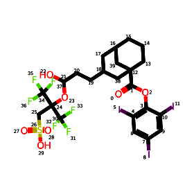 O=C(Oc1c(I)cc(I)cc1I)C12CCCC(CC(CCC(O)OC(CS(=O)(=O)O)(C(F)(F)F)C(F)(F)F)C1)C2